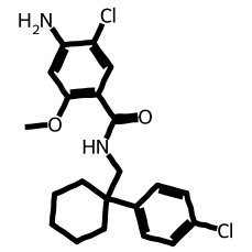 COc1cc(N)c(Cl)cc1C(=O)NCC1(c2ccc(Cl)cc2)CCCCC1